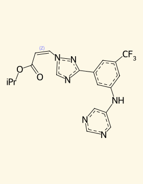 CC(C)OC(=O)/C=C\n1cnc(-c2cc(Nc3cncnc3)cc(C(F)(F)F)c2)n1